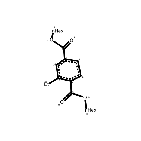 CCCCCCOC(=O)c1ccc(C(=O)OCCCCCC)c(CC)c1